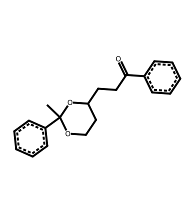 CC1(c2ccccc2)OCCC(CCC(=O)c2ccccc2)O1